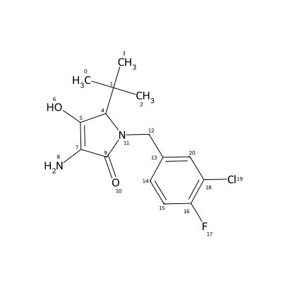 CC(C)(C)C1C(O)=C(N)C(=O)N1Cc1ccc(F)c(Cl)c1